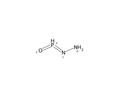 NN=[PH]=O